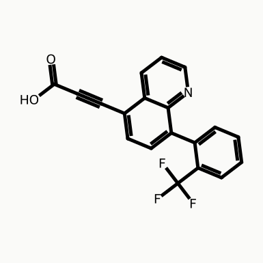 O=C(O)C#Cc1ccc(-c2ccccc2C(F)(F)F)c2ncccc12